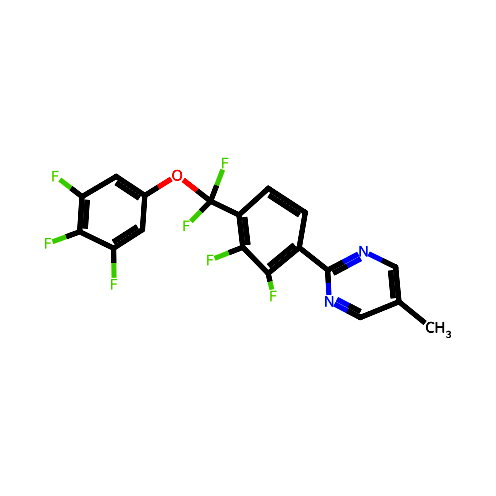 Cc1cnc(-c2ccc(C(F)(F)Oc3cc(F)c(F)c(F)c3)c(F)c2F)nc1